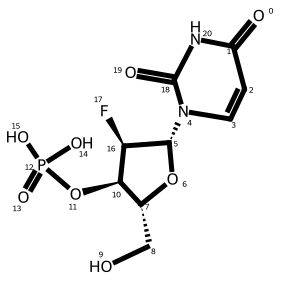 O=c1ccn([C@@H]2O[C@H](CO)[C@@H](OP(=O)(O)O)[C@H]2F)c(=O)[nH]1